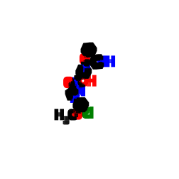 COc1cc(-n2ccc3c(=O)n(CC4(O)CCN(C(=O)[C@@H]5CCNC[C@H]5c5ccccc5)CC4)cnc32)ccc1Cl